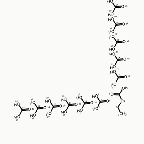 CCOC(=O)O.O=C(O)O.O=C(O)O.O=C(O)O.O=C(O)O.O=C(O)O.O=C(O)O.O=C(O)O.O=C(O)O.O=C(O)O.O=C(O)O.O=C(O)O